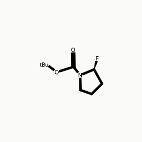 CC(C)(C)OC(=O)N1CCC[C@@H]1F